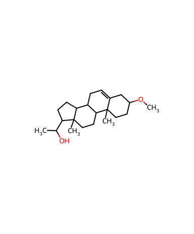 COC1CCC2(C)C(=CCC3C2CCC2(C)C(C(C)O)CCC32)C1